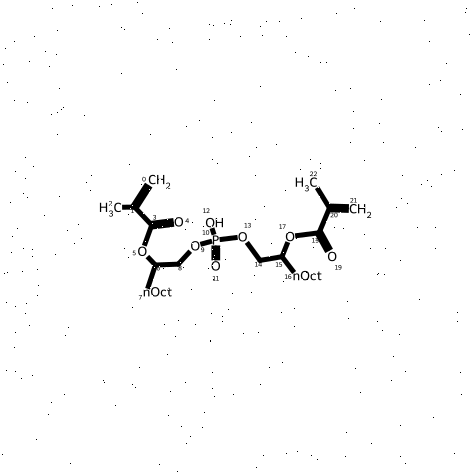 C=C(C)C(=O)OC(CCCCCCCC)COP(=O)(O)OCC(CCCCCCCC)OC(=O)C(=C)C